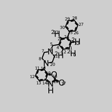 [2H]c1c([2H])c(CN2CCN(c3cccc4[nH]c(=O)oc34)CC2)c([2H])c(-c2ccccc2)c1[2H]